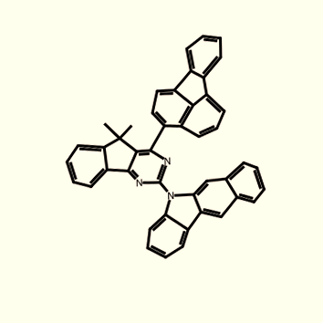 CC1(C)c2ccccc2-c2nc(-n3c4ccccc4c4cc5ccccc5cc43)nc(-c3ccc4c5c(cccc35)-c3ccccc3-4)c21